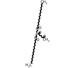 CCCCCCCCCCCCCCCCCC(=O)OCCN(CCOC(=O)CCCCCCCCCCCCCCCCC)C(=O)CCCC(C)=O